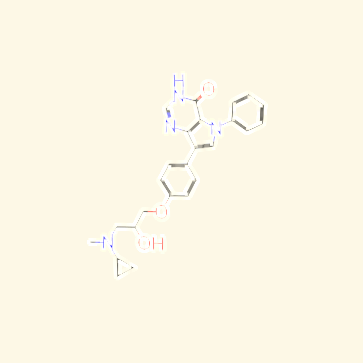 CN(CC(O)COc1ccc(-c2cn(-c3ccccc3)c3c(=O)[nH]cnc23)cc1)C1CC1